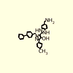 Cc1ccc(-c2nn(Cc3ccc(-c4ccccc4)cc3)c(C3Nc4ccc(CN)cc4N3)c2O)cc1